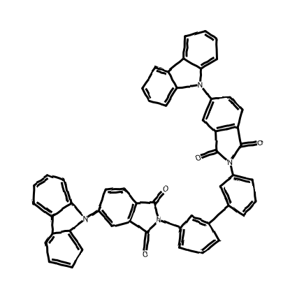 O=C1c2ccc(-n3c4ccccc4c4ccccc43)cc2C(=O)N1c1cccc(-c2cccc(N3C(=O)c4ccc(-n5c6ccccc6c6ccccc65)cc4C3=O)c2)c1